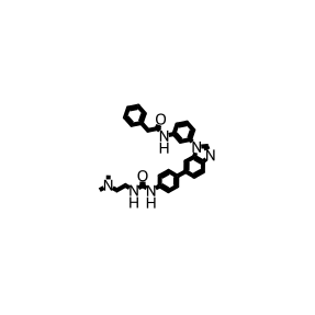 CN(C)CCNC(=O)Nc1ccc(-c2ccc3ncn(-c4cccc(NC(=O)Cc5ccccc5)c4)c3c2)cc1